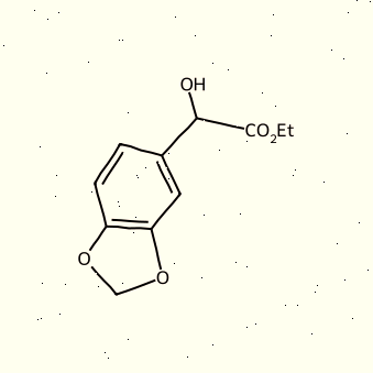 CCOC(=O)C(O)c1ccc2c(c1)OCO2